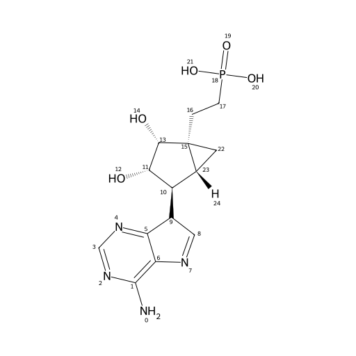 Nc1ncnc2c1N=CC2[C@H]1[C@H](O)[C@H](O)[C@@]2(CCP(=O)(O)O)C[C@H]12